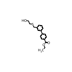 CCOC(=O)c1ccc(-c2cccc(CSCCO)c2)cc1